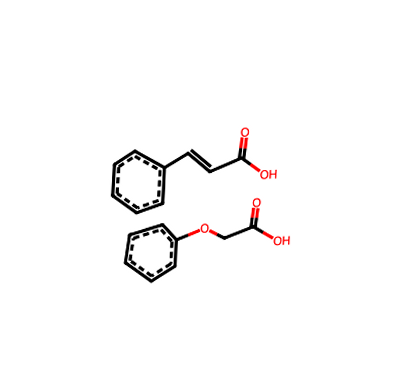 O=C(O)C=Cc1ccccc1.O=C(O)COc1ccccc1